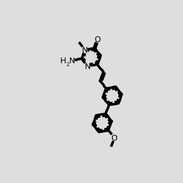 COc1cccc(-c2cccc(/C=C/c3cc(=O)n(C)c(N)n3)c2)c1